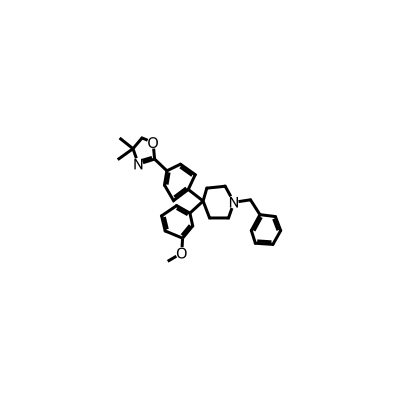 COc1cccc(C2(c3ccc(C4=NC(C)(C)CO4)cc3)CCN(Cc3ccccc3)CC2)c1